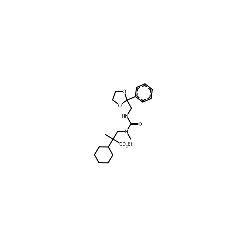 CCOC(=O)C(C)(CN(C)C(=O)NCC1(c2ccccc2)OCCO1)C1CCCCC1